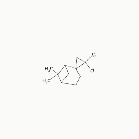 CC1(C)C2CCC3(CC3(Cl)Cl)C1C2